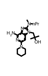 CCCN(C)c1nc2c(N)nc(N3CCCCC3)cc2n1CC(C)(C)O